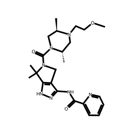 COCCN1C[C@H](C)N(C(=O)N2Cc3c(NC(=O)c4ccccn4)n[nH]c3C2(C)C)C[C@H]1C